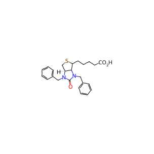 O=C(O)CCCCC1SC[C@H]2C1N(Cc1ccccc1)C(=O)N2Cc1ccccc1